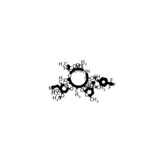 CCC[C@H]1OC(=O)[C@H](C)[C@@H](O[C@H]2C[C@@](C)(OC)[C@](O)(CC#N)[C@H](C)O2)[C@H](C)[C@@H](O[C@@H]2O[C@H](C)CC(N(C)C(=O)N(C)c3ccc(C(F)(F)F)cc3)[C@H]2O)[C@](C)(O)C[C@@H](C)CN[C@H](C)[C@@H](O)[C@]1(C)O